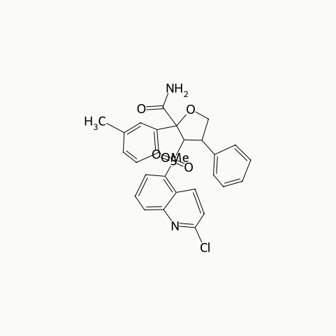 COc1ccc(C)cc1C1(C(N)=O)OCC(c2ccccc2)C1S(=O)(=O)c1cccc2nc(Cl)ccc12